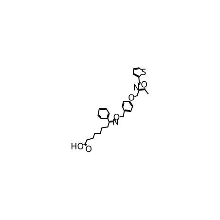 Cc1oc(-c2cccs2)nc1COc1ccc(CON=C(CCCCCCC(=O)O)c2ccccc2)cc1